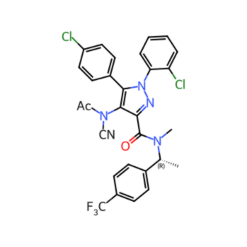 CC(=O)N(C#N)c1c(C(=O)N(C)[C@H](C)c2ccc(C(F)(F)F)cc2)nn(-c2ccccc2Cl)c1-c1ccc(Cl)cc1